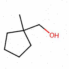 CC1(CO)CCCC1